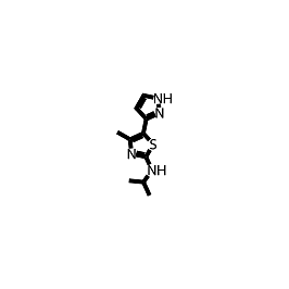 Cc1nc(NC(C)C)sc1-c1cc[nH]n1